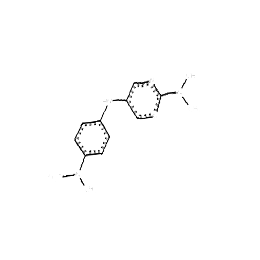 CN(C)c1ccc(Nc2cnc(N(C)C)nc2)cc1